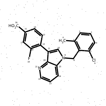 Cc1cccc(Cl)c1Cn1cc(-c2ccc(C(=O)O)cc2F)c2ncccc21